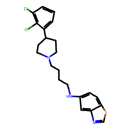 Clc1cccc(C2CCN(CCCCNc3ccc4scnc4c3)CC2)c1Cl